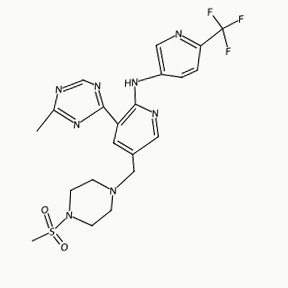 Cc1ncnc(-c2cc(CN3CCN(S(C)(=O)=O)CC3)cnc2Nc2ccc(C(F)(F)F)nc2)n1